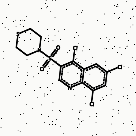 O=S(=O)(c1cnc2c(Cl)cc(Cl)cc2c1Cl)N1CCSCC1